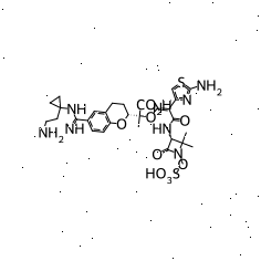 CC(O/N=C(\C(=O)N[C@@H]1C(=O)N(OS(=O)(=O)O)C1(C)C)c1csc(N)n1)(C(=O)O)[C@H]1CCc2cc(C(=N)NC3(CCN)CC3)ccc2O1